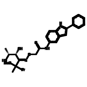 COC(C)(/C(=N/OCC(=O)Nc1ccc2[nH]c(-c3ccccc3)cc2c1)[C@@H](O)[C@@H](C)O)C(C)C